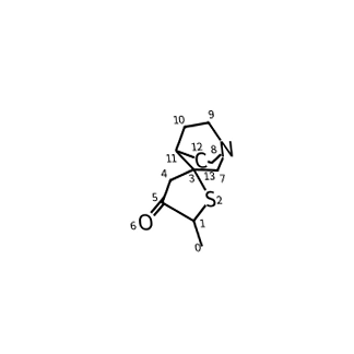 CC1SC2(CC1=O)CN1CCC2CC1